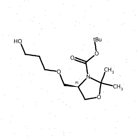 CC(C)(C)OC(=O)N1[C@H](COCCCO)COC1(C)C